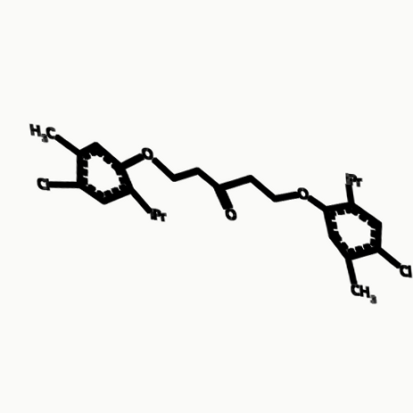 Cc1cc(OCCC(=O)CCOc2cc(C)c(Cl)cc2C(C)C)c(C(C)C)cc1Cl